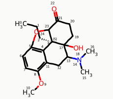 CCC[C@@]12c3c4ccc(OC)c3CC(N(C)C)C1(O)CCC(=O)C2O4